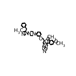 COc1ccc(C2(Cn3cncn3)OCC(COc3cccc(N4CCN(n5cnc(C)c5Cc5ccccc5)CC4)c3)O2)c(OC)c1